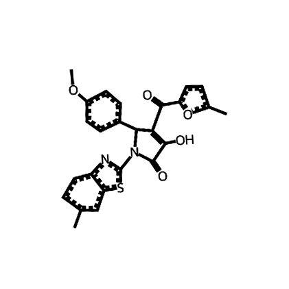 COc1ccc(C2C(C(=O)c3ccc(C)o3)=C(O)C(=O)N2c2nc3ccc(C)cc3s2)cc1